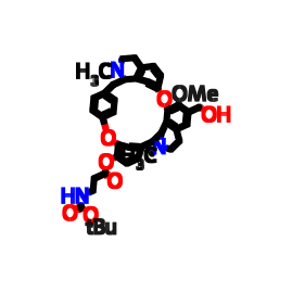 COc1c(CO)cc2c3c1Oc1ccc4c(c1)C(Cc1ccc(cc1)Oc1cc(ccc1OC(=O)CCNC(=O)OC(C)(C)C)CC3N(C)CC2)N(C)CC4